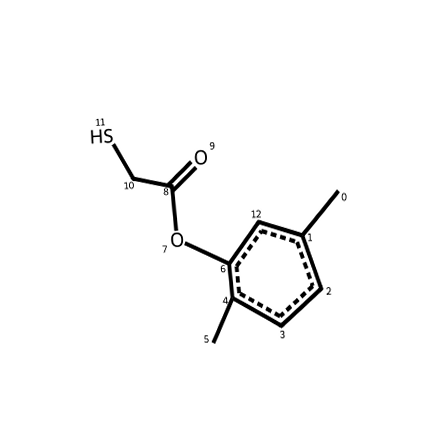 Cc1ccc(C)c(OC(=O)CS)c1